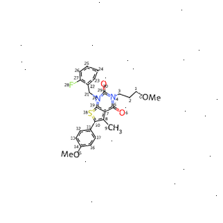 COCCCn1c(=O)c2c(C)c(-c3ccc(OC)cc3)sc2n(Cc2ccccc2F)c1=O